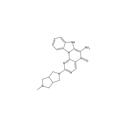 CN1CC2CN(c3ncc4c(=O)c([N+](=O)[O-])c5[nH]c6ccccc6n5c4n3)CC2C1